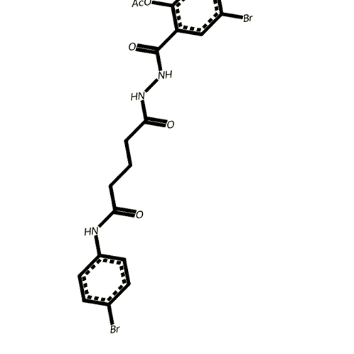 CC(=O)Oc1ccc(Br)cc1C(=O)NNC(=O)CCCC(=O)Nc1ccc(Br)cc1